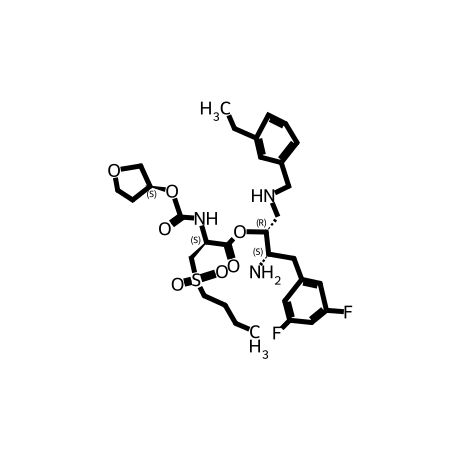 CCCCS(=O)(=O)C[C@@H](NC(=O)O[C@H]1CCOC1)C(=O)O[C@H](CNCc1cccc(CC)c1)[C@@H](N)Cc1cc(F)cc(F)c1